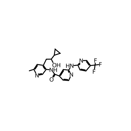 Cc1cc(CC(O)C2CC2)c(NC(=O)c2ccnc(Nc3ccc(C(F)(F)F)cn3)c2)cn1